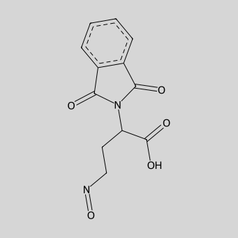 O=NCCC(C(=O)O)N1C(=O)c2ccccc2C1=O